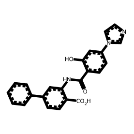 O=C(Nc1cc(-c2ccccc2)ccc1C(=O)O)c1ccc(-n2ccnc2)cc1O